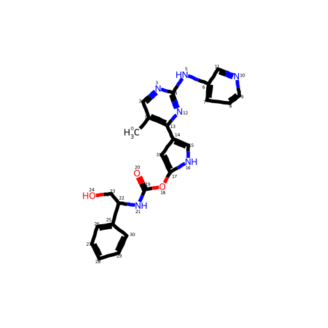 Cc1cnc(Nc2cccnc2)nc1-c1c[nH]c(OC(=O)NC(CO)c2ccccc2)c1